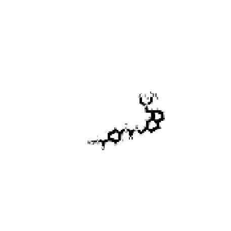 CCN(CC)Cc1cccc2ccc(COC(=O)Nc3ccc(C(=O)NO)cc3)cc12